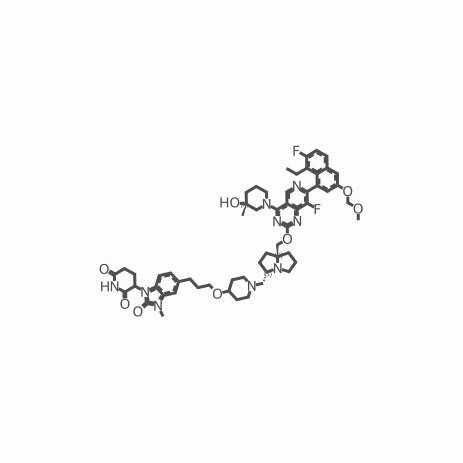 CCc1c(F)ccc2cc(OCOC)cc(-c3ncc4c(N5CCC[C@@](C)(O)C5)nc(OC[C@@]56CCCN5[C@H](CN5CCC(OCCCc7ccc8c(c7)n(C)c(=O)n8C7CCC(=O)NC7=O)CC5)CC6)nc4c3F)c12